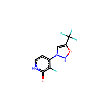 O=c1[nH]ccc(N2C=C(C(F)(F)F)ON2)c1F